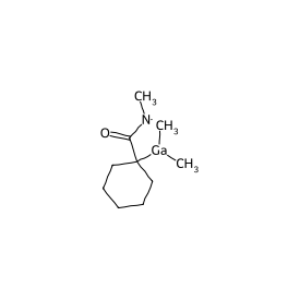 C[N]C(=O)[C]1([Ga]([CH3])[CH3])CCCCC1